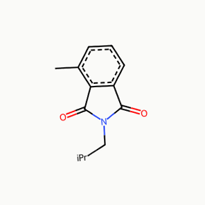 Cc1cccc2c1C(=O)N(CC(C)C)C2=O